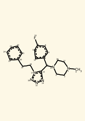 CN1CCN(C(c2ccc(F)cc2)c2nnnn2CCc2ccccc2)CC1